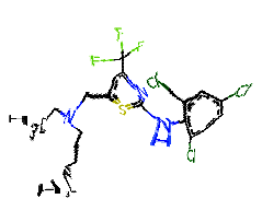 CCCCN(CC)Cc1sc(Nc2c(Cl)cc(Cl)cc2Cl)nc1C(F)(F)F